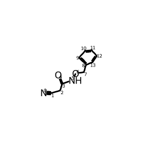 N#CCC(=O)NOCc1ccccc1